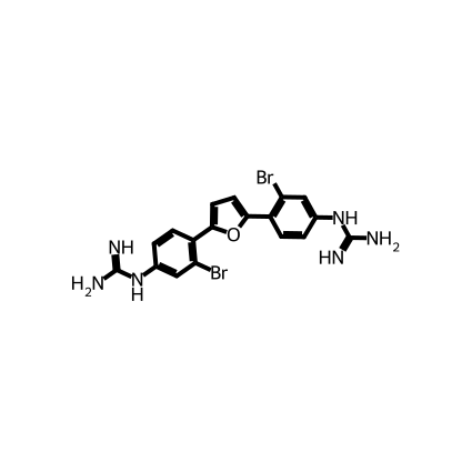 N=C(N)Nc1ccc(-c2ccc(-c3ccc(NC(=N)N)cc3Br)o2)c(Br)c1